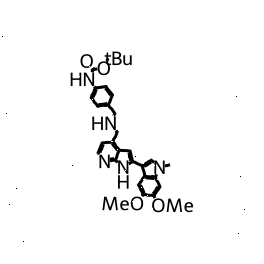 COc1cc2c(-c3cc4c(CNCc5ccc(NC(=O)OC(C)(C)C)cc5)ccnc4[nH]3)cn(C)c2cc1OC